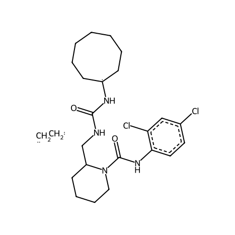 O=C(NCC1CCCCN1C(=O)Nc1ccc(Cl)cc1Cl)N[C]1CCCCCCC1.[CH2].[CH2]